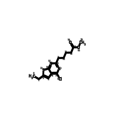 CCc1cc2c(Cl)nc(CCCCC(=O)OC)nc2s1